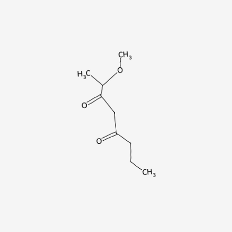 CCCC(=O)CC(=O)C(C)OC